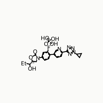 CCC(O)[C@@H]1CN(c2ccc(-c3ccc(-c4nnn(C5CC5)n4)nc3)c(F)c2)C(=O)O1.O=P(O)(O)O